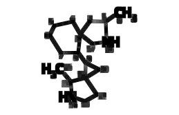 CC1CC2(CCCCC2C2CC23CCNC3C)CN1